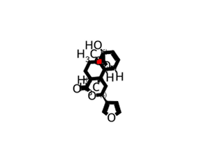 C[C@@]12C[C@@H](c3ccoc3)OC(=O)[C@H]1CC[C@]1(C)[C@H]2[C@@H]2C=C[C@@]1(O)C(=O)O2